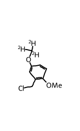 [2H]C([2H])([2H])Oc1ccc(OC)c(CCl)c1